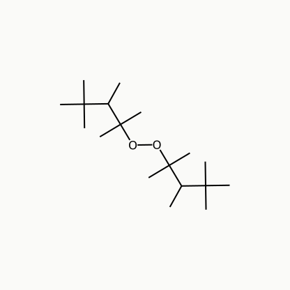 CC(C(C)(C)C)C(C)(C)OOC(C)(C)C(C)C(C)(C)C